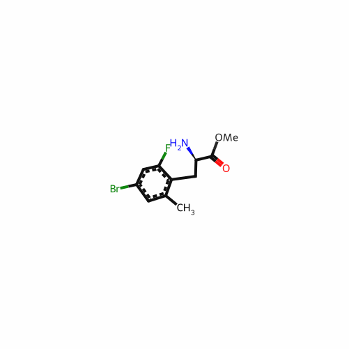 COC(=O)[C@H](N)Cc1c(C)cc(Br)cc1F